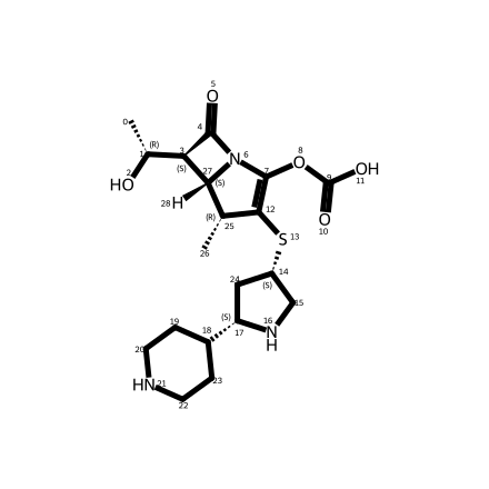 C[C@@H](O)[C@H]1C(=O)N2C(OC(=O)O)=C(S[C@@H]3CN[C@H](C4CCNCC4)C3)[C@H](C)[C@H]12